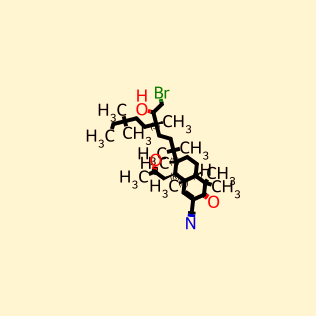 CCC(C)(C)CC[C@@](C)(CCC(C)(C)[C@]1(C)CC[C@H]2C(C)(C)C(=O)C(C#N)=C[C@]2(C)[C@H]1CC(C)=O)C(O)CBr